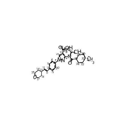 CC(C)N(c1nn(-c2ccc(/C=C/C3CCOCC3)cc2)cc1C(=O)O)C(=O)[C@H]1CC[C@H](C)CC1